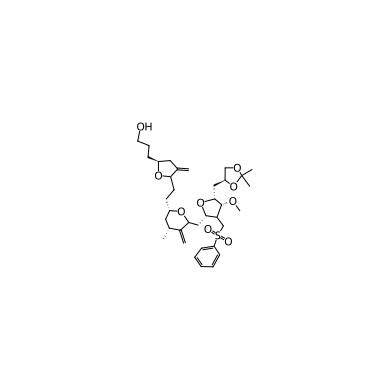 C=C1C[C@H](CCCO)OC1CC[C@H]1C[C@@H](C)C(=C)C(C[C@@H]2O[C@H](C[C@H]3COC(C)(C)O3)[C@H](OC)C2CS(=O)(=O)c2ccccc2)O1